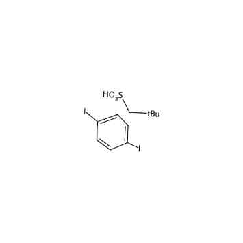 CC(C)(C)CS(=O)(=O)O.Ic1ccc(I)cc1